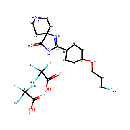 O=C(O)C(F)(F)F.O=C(O)C(F)(F)F.O=C1NC(C2CCC(OCCCF)CC2)=NC12CCNCC2